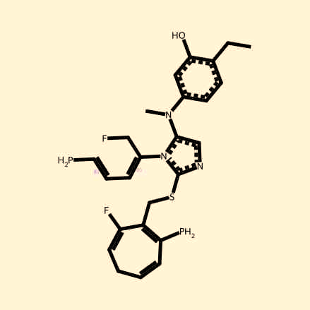 CCc1ccc(N(C)c2cnc(SCC3=C(P)C=CCC=C3F)n2/C(=C/C=C/P)CF)cc1O